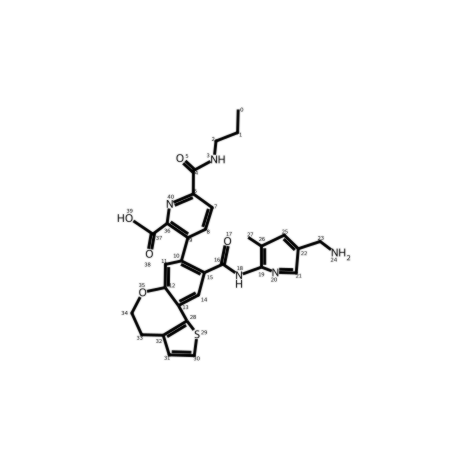 CCCNC(=O)c1ccc(-c2cc3c(cc2C(=O)Nc2ncc(CN)cc2C)-c2sccc2CCO3)c(C(=O)O)n1